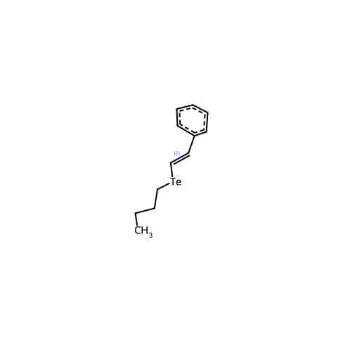 CCCC[Te]/C=C/c1ccccc1